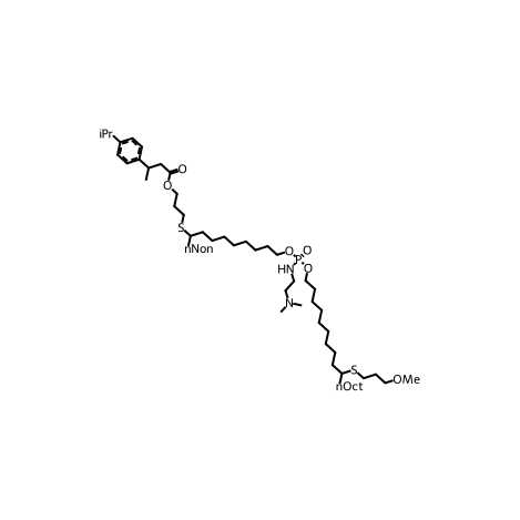 CCCCCCCCCC(CCCCCCCCOP(=O)(NCCN(C)C)OCCCCCCCCCC(CCCCCCCC)SCCCOC)SCCCOC(=O)CC(C)c1ccc(C(C)C)cc1